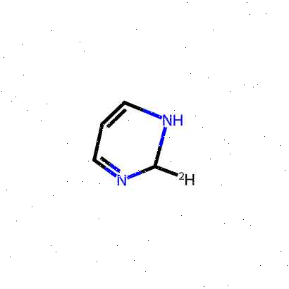 [2H]C1N=CC=CN1